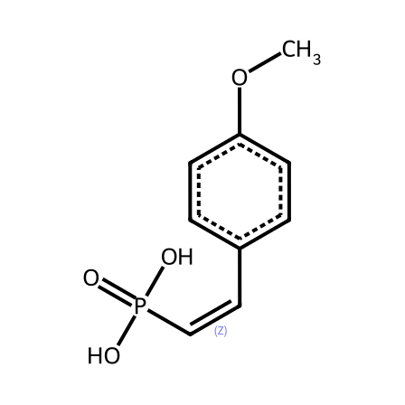 COc1ccc(/C=C\P(=O)(O)O)cc1